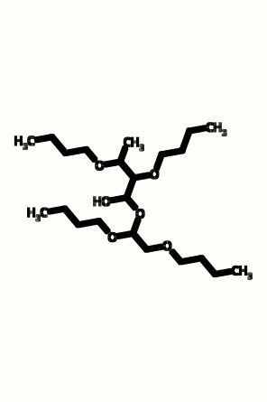 CCCCOCC(OCCCC)OC(O)C(OCCCC)C(C)OCCCC